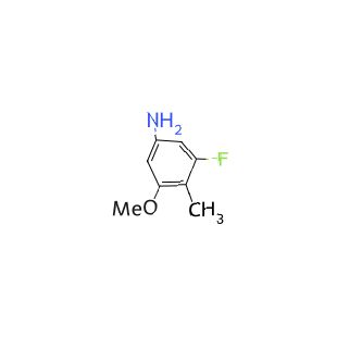 COc1cc(N)cc(F)c1C